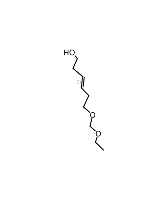 CCOCOCC/C=C/CCO